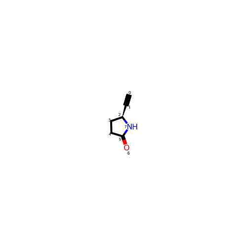 C#C[C@@H]1CCC(=O)N1